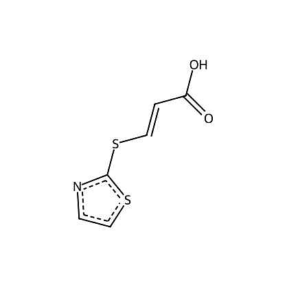 O=C(O)C=CSc1nccs1